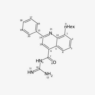 CCCCCCc1cccc2c(C(=O)NC(=N)N)cc(-c3ccccc3)nc12